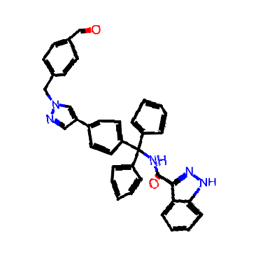 O=Cc1ccc(Cn2cc(-c3ccc(C(NC(=O)c4n[nH]c5ccccc45)(c4ccccc4)c4ccccc4)cc3)cn2)cc1